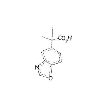 CC(C)(C(=O)O)c1ccc2ocnc2c1